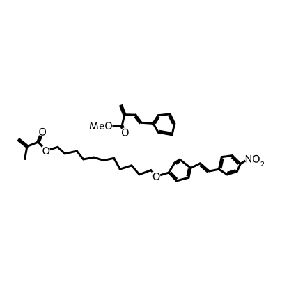 C=C(C)C(=O)OCCCCCCCCCCCOc1ccc(C=Cc2ccc([N+](=O)[O-])cc2)cc1.C=C(C=Cc1ccccc1)C(=O)OC